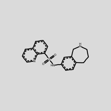 O=S(=O)(Nc1ccc2c(c1)CNCCC2)c1cccc2cccnc12